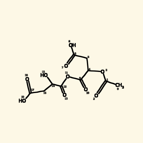 CC(=O)OC(CC(=O)O)C(=O)OC(=O)C(O)CC(=O)O